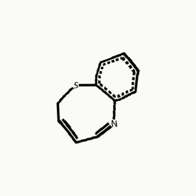 C1=CCSc2ccccc2N=C1